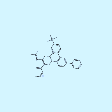 C=C(/C=C\C)C1=C(N=C(C)C)CC2C(C1)c1ccc(-c3ccccc3)cc1-c1ccc([Si](C)(C)C)c[n+]12